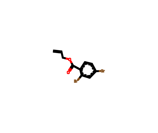 C=CCOC(=O)c1ccc(Br)cc1Br